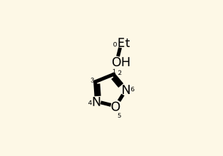 CCO.c1cnon1